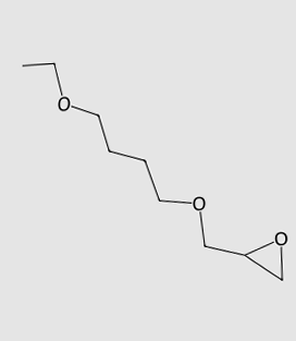 CCOCCCCOCC1CO1